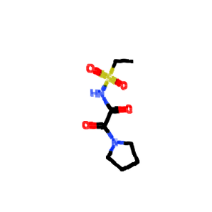 CCS(=O)(=O)NC(=O)C(=O)N1CCCC1